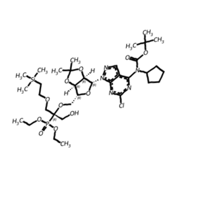 CCOP(=O)(OCC)[C@](CO)(COCC[Si](C)(C)C)OC[C@H]1O[C@@H](n2ncc3c(N(C(=O)OC(C)(C)C)C4CCCC4)nc(Cl)nc32)[C@@H]2OC(C)(C)O[C@@H]21